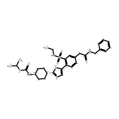 CCNS(=O)(=O)c1cc(CC(=O)NCc2ccccc2)ccc1-c1cnc([C@H]2CC[C@H](NC(=O)OC(C)C)CC2)s1